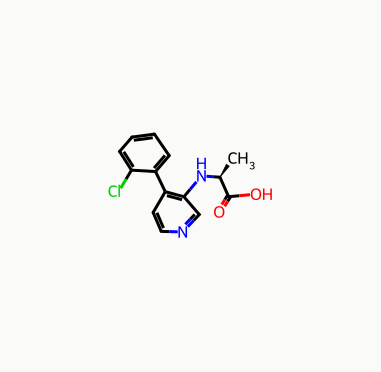 C[C@H](Nc1cnccc1-c1ccccc1Cl)C(=O)O